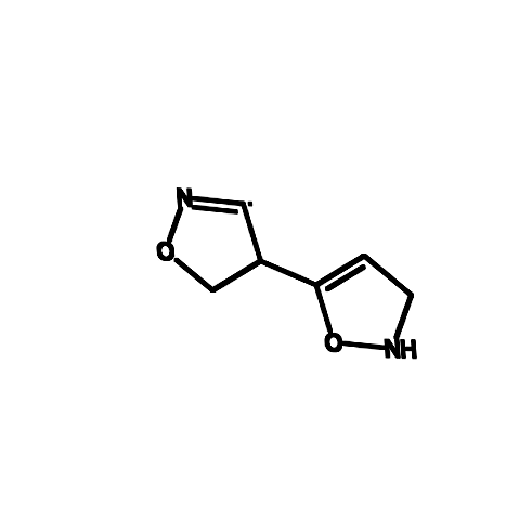 [C]1=NOCC1C1=CCNO1